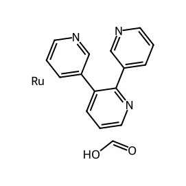 O=CO.[Ru].c1cncc(-c2cccnc2-c2cccnc2)c1